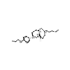 CCCCC[C@H]1CC[C@@H]2C[C@H](c3ccc(OCCC)cc3)CC[C@H]2C1